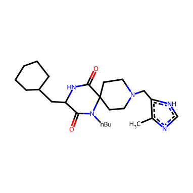 CCCCN1C(=O)C(CC2CCCCC2)NC(=O)C12CCN(Cc1[nH]cnc1C)CC2